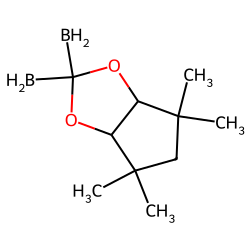 BC1(B)OC2C(O1)C(C)(C)CC2(C)C